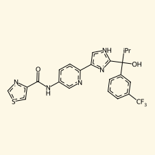 CC(C)C(O)(c1cccc(C(F)(F)F)c1)c1nc(-c2ccc(NC(=O)c3cscn3)cn2)c[nH]1